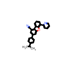 CC(C)c1ccc(-c2cc(C#N)c3c(c2)oc2c(-c4ccccn4)cccc23)cc1